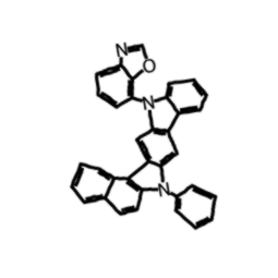 c1ccc(-n2c3cc4c5ccccc5n(-c5cccc6ncoc56)c4cc3c3c4ccccc4ccc32)cc1